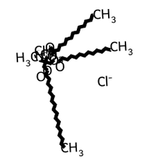 CCCCCCCCCCCCCCCCCC(=O)OCC(COC(=O)CCCCCCCCCCCCC)(COC(=O)CCCCCCCCCCCCC)C[N+](C)(C)C.[Cl-]